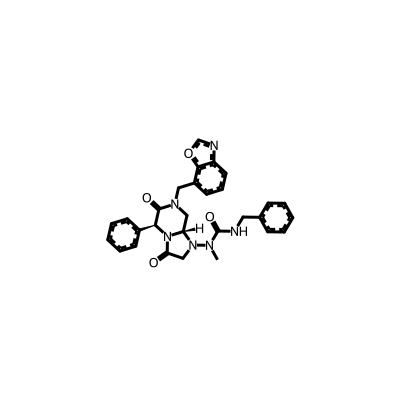 CN(C(=O)NCc1ccccc1)N1CC(=O)N2[C@@H](c3ccccc3)C(=O)N(Cc3cccc4ncoc34)C[C@@H]21